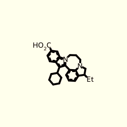 CCC1CN2CCCn3c(c(C4CCCCC4)c4ccc(C(=O)O)cc43)-c3cccc1c32